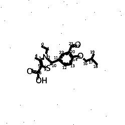 CCN1C(C)=C(C(=O)O)SC1c1ccc(OCC(C)C)c(C=O)c1